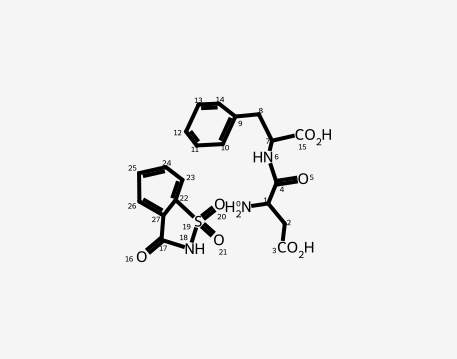 NC(CC(=O)O)C(=O)NC(Cc1ccccc1)C(=O)O.O=C1NS(=O)(=O)c2ccccc21